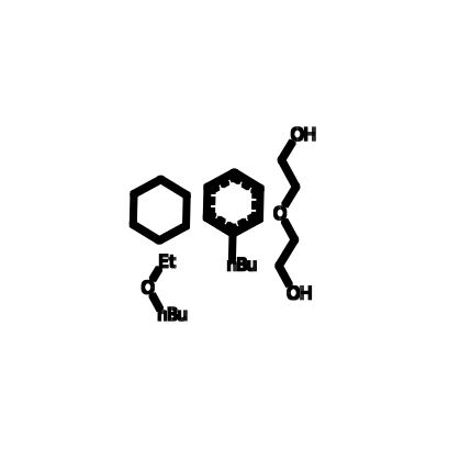 C1CCCCC1.CCCCOCC.CCCCc1ccccc1.OCCOCCO